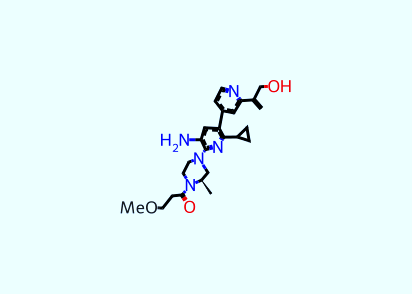 C=C(CO)c1cc(-c2cc(N)c(N3CCN(C(=O)CCOC)[C@H](C)C3)nc2C2CC2)ccn1